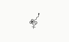 C#CCCCCC1OCC(C(C)(C)C)CS1(=O)=O